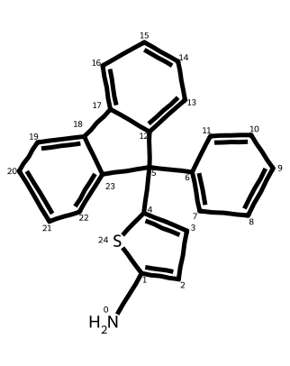 Nc1ccc(C2(c3ccccc3)c3ccccc3-c3ccccc32)s1